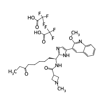 CCC(=O)CCCCC[C@H](NC(=O)C1CN(C)C1)c1ncc(-c2cc3ccccc3nc2OC)[nH]1.O=C(O)C(F)(F)F.O=C(O)C(F)(F)F